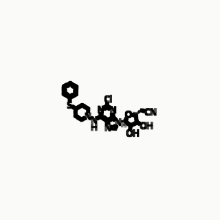 N#CC[C@H]1O[C@@H](n2cnc3c(NN4CCC(Sc5ccccc5)CC4)nc(Cl)nc32)C(O)C1O